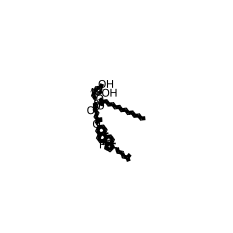 C=C(CCC(=O)OC[C@H](C[N+](C)(CCO)CCO)OC(=O)CCCCCCCCCCCCC)O[C@H]1CC[C@@]2(C)C(=CC[C@@H]3C2CC[C@]2(C)[C@@H](CCCCC(C)C)CC[C@@H]32)C1